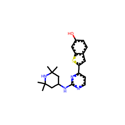 CC1(C)CC(Nc2nccc(-c3cc4ccc(O)cc4s3)n2)CC(C)(C)N1